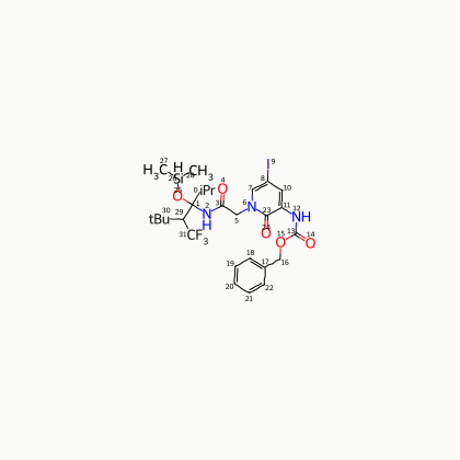 CC(C)C(NC(=O)Cn1cc(I)cc(NC(=O)OCc2ccccc2)c1=O)(O[SiH](C)C)C(C(C)(C)C)C(F)(F)F